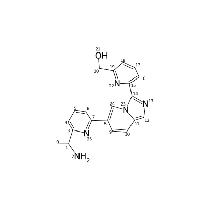 CC(N)c1cccc(-c2ccc3cnc(-c4cccc(CO)n4)n3c2)n1